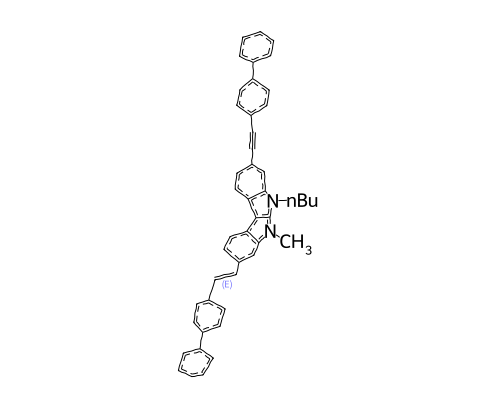 CCCCn1c2cc(C#Cc3ccc(-c4ccccc4)cc3)ccc2c2c3ccc(/C=C/c4ccc(-c5ccccc5)cc4)cc3n(C)c21